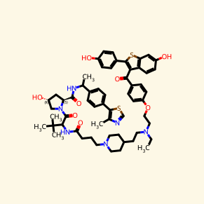 CCN(CCOc1ccc(C(=O)c2c(-c3ccc(O)cc3)sc3cc(O)ccc23)cc1)CCC1CCN(CCCC(=O)NC(C(=O)N2C[C@H](O)C[C@H]2C(=O)NC(C)c2ccc(-c3scnc3C)cc2)C(C)(C)C)CC1